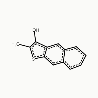 Cc1sc2cc3ccccc3cc2c1O